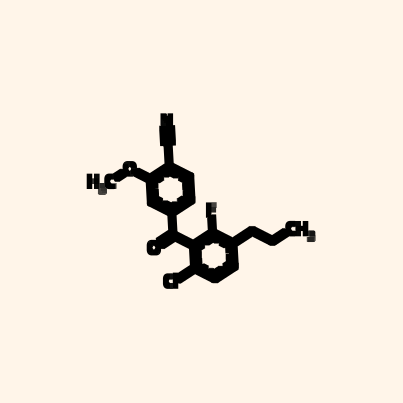 CCCc1ccc(Cl)c(C(=O)c2ccc(C#N)c(OC)c2)c1F